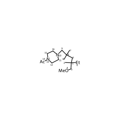 CCC(C)(COC)CC(C)(C)CN1CCN(C(C)=O)CC1